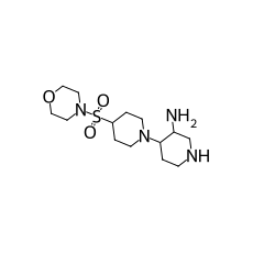 NC1CNCCC1N1CCC(S(=O)(=O)N2CCOCC2)CC1